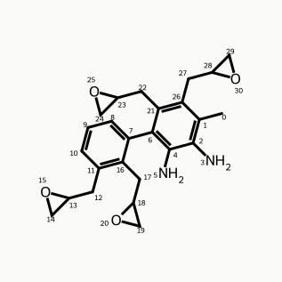 Cc1c(N)c(N)c(-c2cccc(CC3CO3)c2CC2CO2)c(CC2CO2)c1CC1CO1